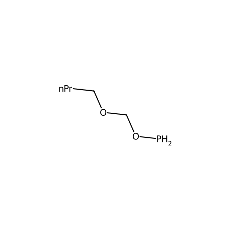 CCCCOCOP